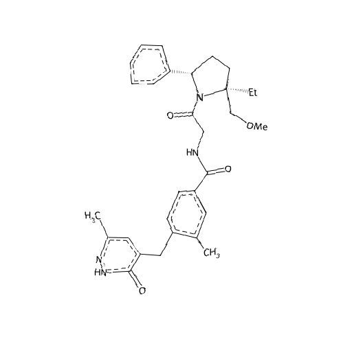 CC[C@@]1(COC)CC[C@@H](c2ccccc2)N1C(=O)CNC(=O)c1ccc(Cc2cc(C)n[nH]c2=O)c(C)c1